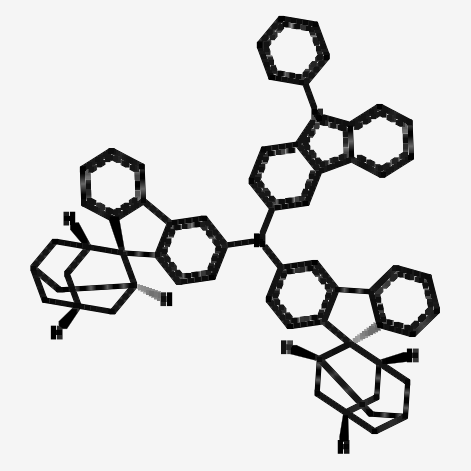 c1ccc(-n2c3ccccc3c3cc(N(c4ccc5c(c4)-c4ccccc4[C@]54[C@@H]5CC6C[C@H](C5)C[C@H]4C6)c4ccc5c(c4)-c4ccccc4[C@]54[C@@H]5CC6C[C@@H](C5)C[C@@H]4C6)ccc32)cc1